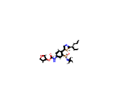 CCC[C@@H](CC)c1ncc(-c2ccc(NC(=O)OC3CCOC3)cc2[S+]([O-])NC(C)(C)C)s1